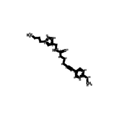 CCCCn1cc(CNC(=O)CCCC#Cc2cnc(SC)nc2)nn1